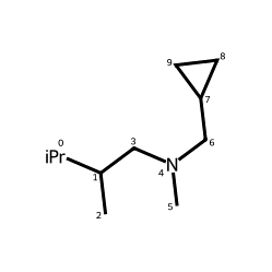 CC(C)C(C)CN(C)CC1CC1